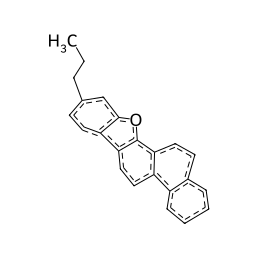 CCCc1ccc2c(c1)oc1c2ccc2c3ccccc3ccc21